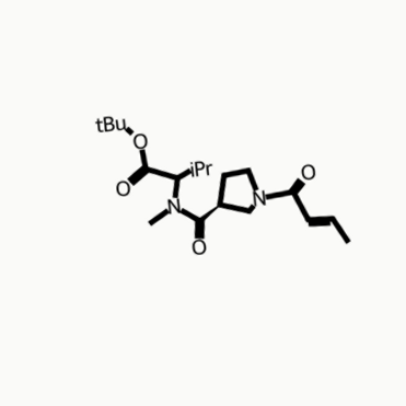 C/C=C/C(=O)N1CC[C@H](C(=O)N(C)C(C(=O)OC(C)(C)C)C(C)C)C1